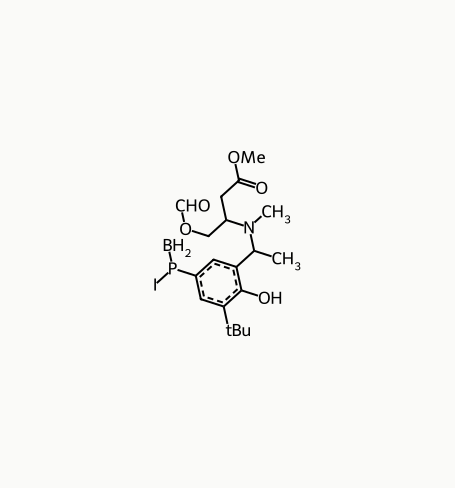 BP(I)c1cc(C(C)N(C)C(COC=O)CC(=O)OC)c(O)c(C(C)(C)C)c1